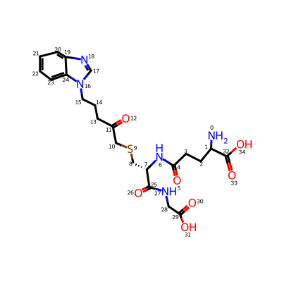 NC(CCC(=O)N[C@@H](CSCC(=O)CCCn1cnc2ccccc21)C(=O)NCC(=O)O)C(=O)O